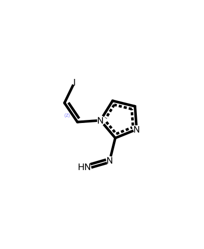 N=Nc1nccn1/C=C\I